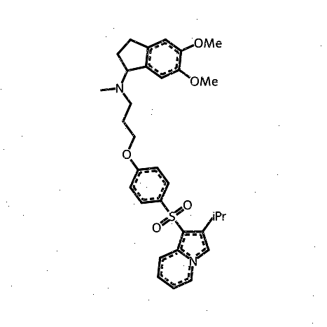 COc1cc2c(cc1OC)C(N(C)CCCOc1ccc(S(=O)(=O)c3c(C(C)C)cn4ccccc34)cc1)CC2